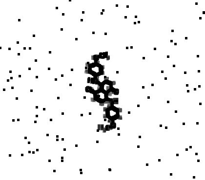 COc1ccc(NC2=C3C(=O)C=CC(Nc4ccc(OC)cc4)=C3C(=O)C=C2)cc1